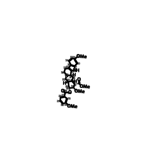 COC(=O)[C@H]1[C@H]2C[C@@H]3c4[nH]c5cc(OC)ccc5c4CCN3C[C@H]2C[C@@H](OC(=O)c2cccc(OC)c2)[C@@H]1OC